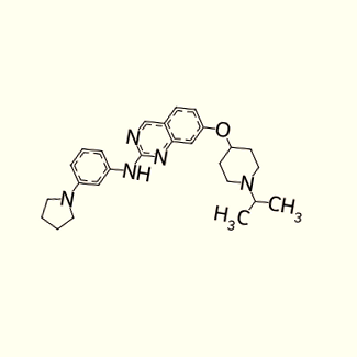 CC(C)N1CCC(Oc2ccc3cnc(Nc4cccc(N5CCCC5)c4)nc3c2)CC1